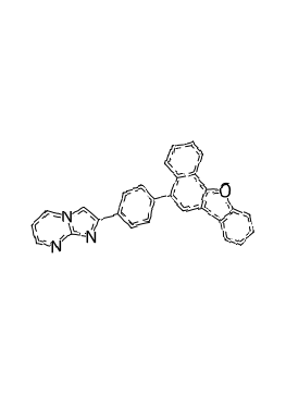 c1ccc2c(c1)oc1c3ccccc3c(-c3ccc(-c4cn5cccnc5n4)cc3)cc21